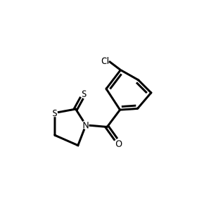 O=C(c1cccc(Cl)c1)N1CCSC1=S